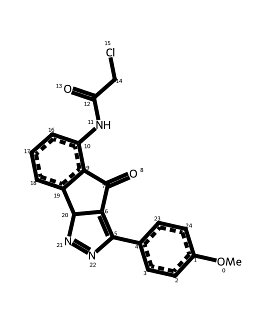 COc1ccc(C2=C3C(=O)c4c(NC(=O)CCl)cccc4C3N=N2)cc1